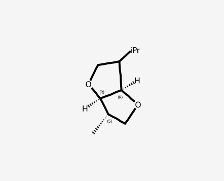 CC(C)C1CO[C@H]2[C@@H]1OC[C@@H]2C